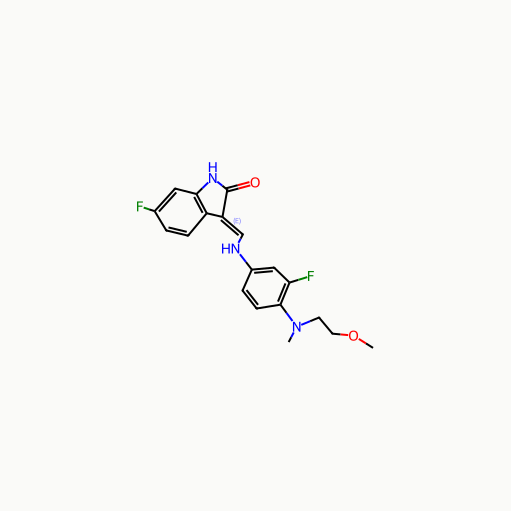 COCCN(C)c1ccc(N/C=C2/C(=O)Nc3cc(F)ccc32)cc1F